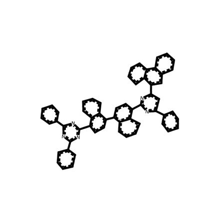 c1ccc(-c2cc(-c3cc4ccccc4c4ccccc34)nc(-c3ccc(-c4ccc(-c5nc(-c6ccccc6)nc(-c6ccccc6)n5)c5ccccc45)c4ccccc34)n2)cc1